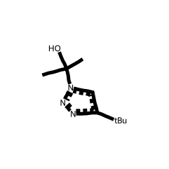 CC(C)(C)c1cn(C(C)(C)O)nn1